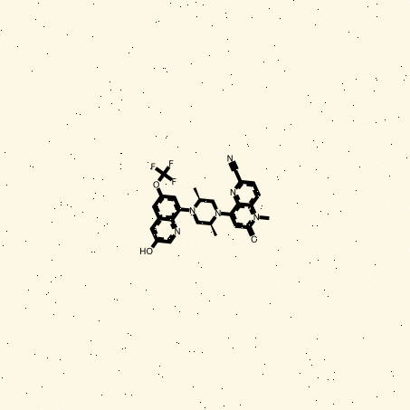 C[C@H]1CN(c2cc(=O)n(C)c3ccc(C#N)nc23)[C@@H](C)CN1c1cc(OC(F)(F)F)cc2cc(O)cnc12